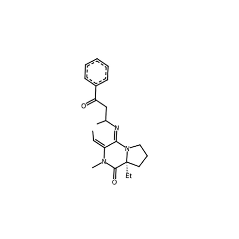 C/C=C1\C(=N/C(C)CC(=O)c2ccccc2)N2CCC[C@@]2(CC)C(=O)N1C